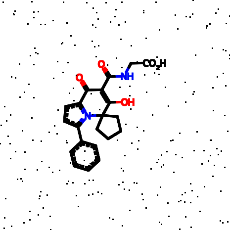 O=C(O)CNC(=O)C1=C(O)C2(CCCC2)n2c(ccc2-c2ccccc2)C1=O